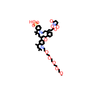 COCCOCCOCCOCCOCCN1c2cc3c(cc2C(C)=CC1(C)C)C(/C=C1\N(CCCCCC(=O)ON2C(=O)CCC2=O)c2ccc(S(=O)(=O)O)cc2C1(C)C)=CC(c1ccccc1)O3